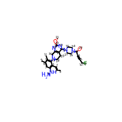 C/C=C/c1c(NN)cc(C)c(C)c1N1CCc2c(nc(OC)nc2N2CCN(C(=O)C#CCF)CC2)C1